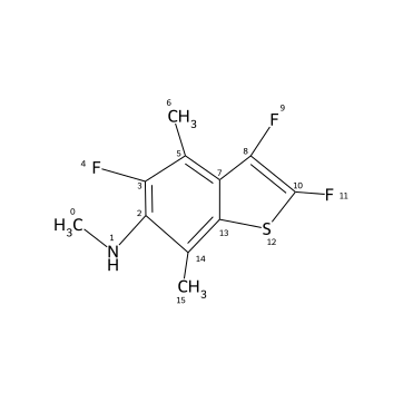 CNc1c(F)c(C)c2c(F)c(F)sc2c1C